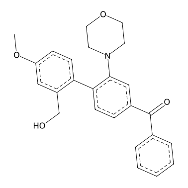 COc1ccc(-c2ccc(C(=O)c3ccccc3)cc2N2CCOCC2)c(CO)c1